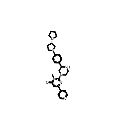 Cn1c(N2CCNC(c3ccc(N4CC[C@H](N5CCCC5)C4)cc3)C2)nc(-c2ccncc2)cc1=O